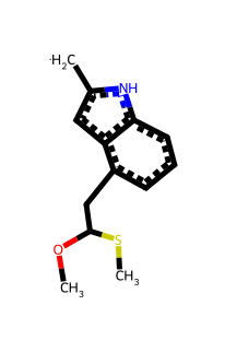 [CH2]c1cc2c(CC(OC)SC)cccc2[nH]1